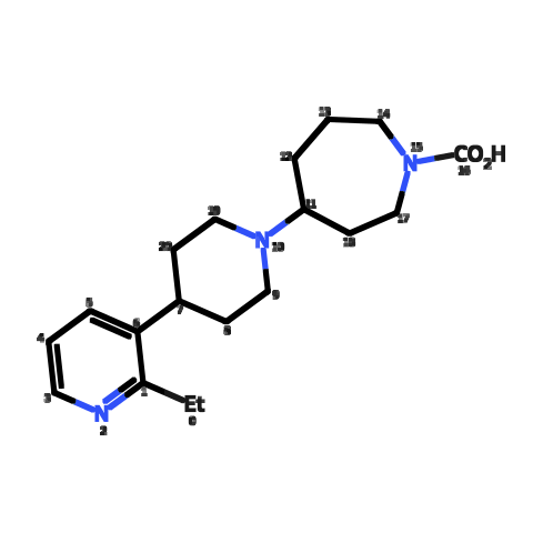 CCc1ncccc1C1CCN(C2CCCN(C(=O)O)CC2)CC1